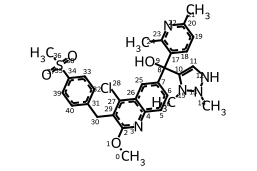 COc1nc2ccc(C(O)(C3=CNN(C)N3C)c3ccc(C)nc3C)cc2c(Cl)c1Cc1ccc(S(C)(=O)=O)cc1